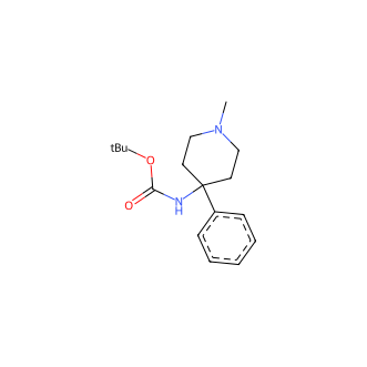 CN1CCC(NC(=O)OC(C)(C)C)(c2ccccc2)CC1